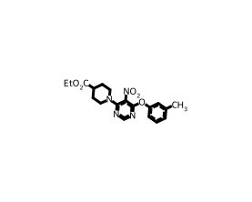 CCOC(=O)C1CCN(c2ncnc(Oc3cccc(C)c3)c2[N+](=O)[O-])CC1